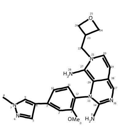 COc1cc(-c2cnn(C)c2)ccc1N1C(N)=NC=C2C=CN(CC3COC3)C(N)=C21